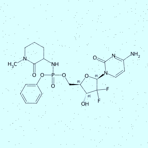 CN1CCCC(NP(=O)(OC[C@H]2O[C@@H](n3ccc(N)nc3=O)C(F)(F)[C@@H]2O)Oc2ccccc2)C1=O